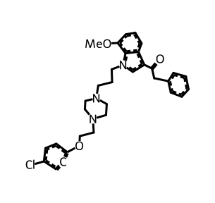 COc1cccc2c(C(=O)Cc3ccccc3)cn(CCCN3CCN(CCOc4ccc(Cl)cc4)CC3)c12